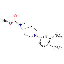 COc1ccc(N2CCC3(CC2)CN(C(=O)OC(C)(C)C)C3)cc1[N+](=O)[O-]